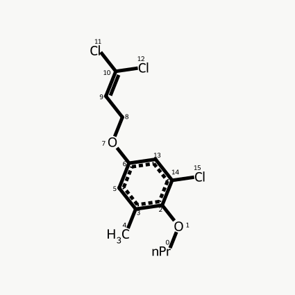 [CH2]CCOc1c(C)cc(OCC=C(Cl)Cl)cc1Cl